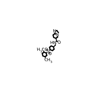 Cc1ccc(C)c(S(=O)(=O)c2ccc(CNC(=O)c3ccc4nccn4c3)cc2)c1